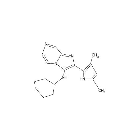 Cc1cc(C)c(-c2nc3cnccn3c2NC2CCCCC2)[nH]1